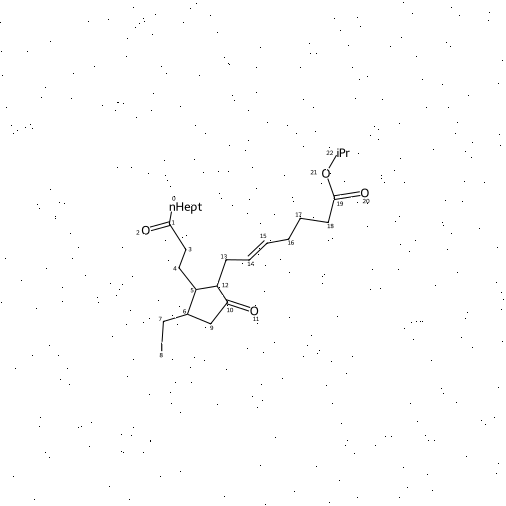 CCCCCCCC(=O)CCC1C(CI)CC(=O)C1CC=CCCCC(=O)OC(C)C